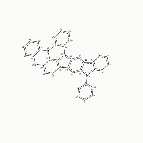 c1ccc(-n2c3ccccc3c3cc4c(cc32)c2ccc3c5c2n4-c2ccccc2B5c2ccccc2S3)cc1